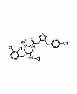 CC[C@H](C)[C@@H](CN(Cc1cccc(Cl)c1Cl)C(=S)NC1CC1)NC(=O)Cc1cncn1Cc1ccc(C#N)cc1